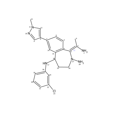 C/C(N)=C1\c2ccc(-c3cnn(C)c3)cc2C(Nc2cccc(Cl)c2)CCN1N